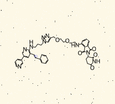 O=C1CCC(N2C(=O)c3cccc(NCCOCCOCc4cn(CCCNc5ncc(-c6cccnc6)cc5/C=C/c5ccccc5)nn4)c3C2=O)C(=O)N1